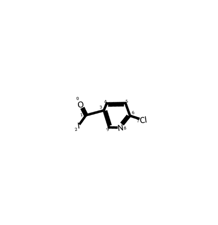 O=C(I)c1ccc(Cl)nc1